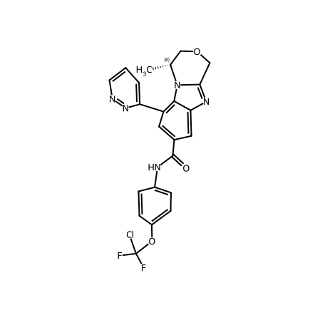 C[C@@H]1COCc2nc3cc(C(=O)Nc4ccc(OC(F)(F)Cl)cc4)cc(-c4cccnn4)c3n21